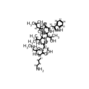 CNCC(=O)N[C@@H](CCCCN)C(=O)N[C@@H](CO)C(=O)NC(C(=O)N[C@H](C(=O)N[C@@H](Cc1c[nH]c2ccccc12)C(=O)NC(C)(C)CC(C)C)[C@@H](C)O)C(C)C